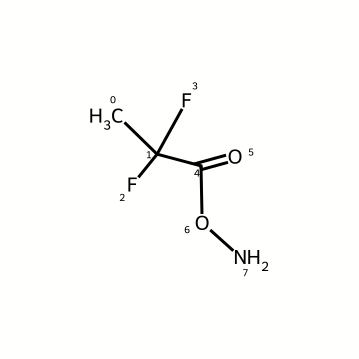 CC(F)(F)C(=O)ON